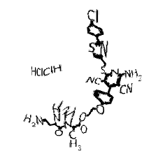 CC(NC(=O)C(N)CCN)C(=O)OCCOc1ccc(-c2c(C#N)c(N)nc(SCc3csc(-c4ccc(Cl)cc4)n3)c2C#N)cc1.Cl.Cl